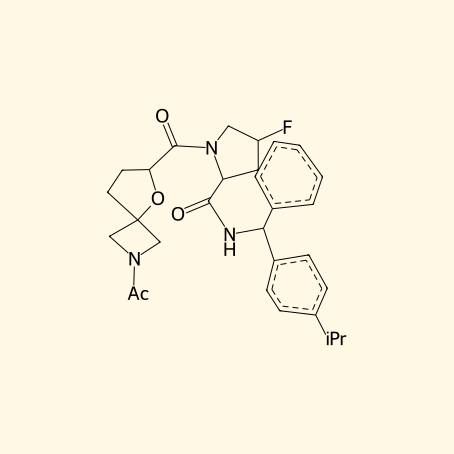 CC(=O)N1CC2(CCC(C(=O)N3CC(F)CC3C(=O)NC(c3ccccc3)c3ccc(C(C)C)cc3)O2)C1